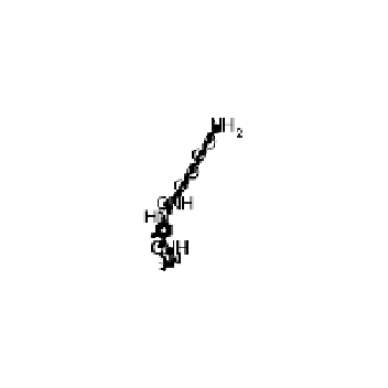 Cc1cnc(NC(=O)c2ccc(NCC(=O)NCCOCCOCCOCCOCCN)cc2C)s1